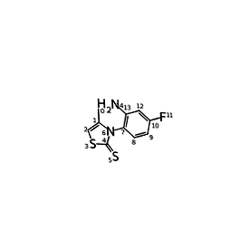 Cc1csc(=S)n1-c1ccc(F)cc1N